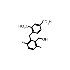 Cc1ccc(F)c(Cc2ccc(C(=O)O)cc2C(=O)O)c1CO